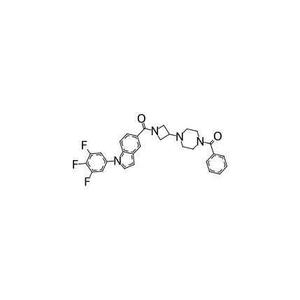 O=C(c1ccccc1)N1CCN(C2CN(C(=O)c3ccc4c(ccn4-c4cc(F)c(F)c(F)c4)c3)C2)CC1